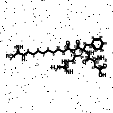 N=C(N)NCCCCCCCCC(=O)OC(=O)[C@@](CCCNC(=N)N)(Cc1ccccc1)NC(=O)[C@@H](N)CC(=O)O